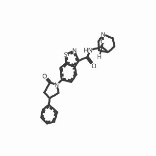 O=C(N[C@@H]1CN2CCC1CC2)c1nsc2cc(N3CC(c4ccccc4)CC3=O)ccc12